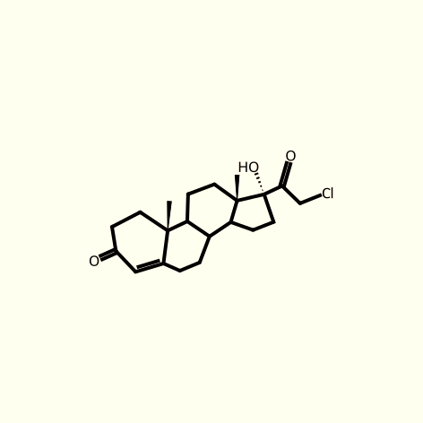 C[C@]12CCC(=O)C=C1CCC1C2CC[C@@]2(C)C1CC[C@]2(O)C(=O)CCl